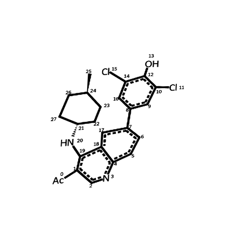 CC(=O)c1cnc2ccc(-c3cc(Cl)c(O)c(Cl)c3)cc2c1N[C@H]1CC[C@H](C)CC1